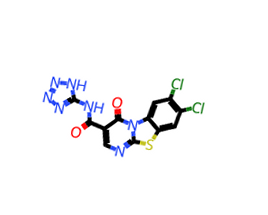 O=C(Nc1nnn[nH]1)c1cnc2sc3cc(Cl)c(Cl)cc3n2c1=O